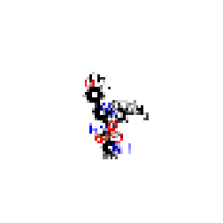 COc1ccc(-c2ccc(C(=O)NS(=O)(=O)c3ccc[nH]c3=O)c(N3CCC(C)C3(C)C)n2)cc1